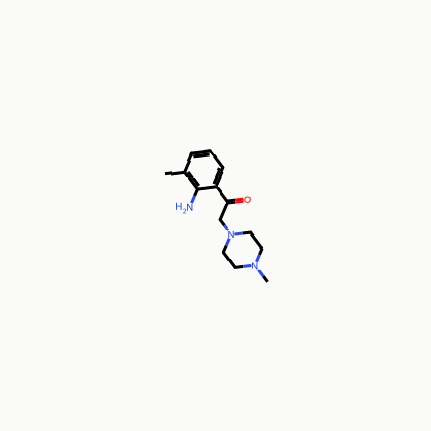 Cc1cccc(C(=O)CN2CCN(C)CC2)c1N